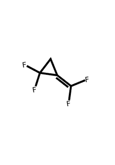 FC(F)=C1CC1(F)F